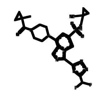 CC1(C(=O)N2CCN(c3cc(S(=O)(=O)NC4(C#N)CC4)cn4c(-c5nnc(C(F)F)s5)ncc34)CC2)CC1